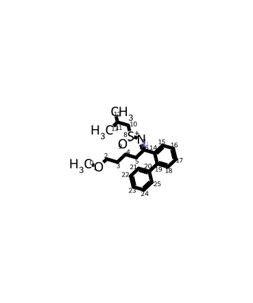 COCCCC/C(=N\[S+]([O-])CC(C)C)c1ccccc1-c1ccccc1